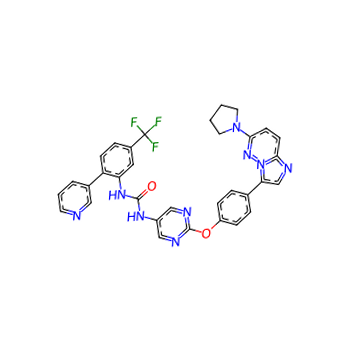 O=C(Nc1cnc(Oc2ccc(-c3cnc4ccc(N5CCCC5)nn34)cc2)nc1)Nc1cc(C(F)(F)F)ccc1-c1cccnc1